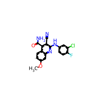 COc1[c]cc2c(C(N)=O)c(C#N)c(Nc3ccc(F)c(Cl)c3)nc2c1